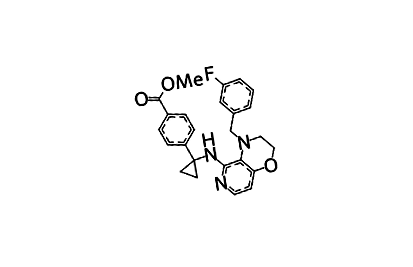 COC(=O)c1ccc(C2(Nc3nccc4c3N(Cc3cccc(F)c3)CCO4)CC2)cc1